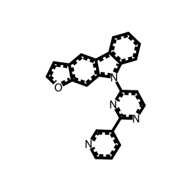 c1cncc(-c2nccc(-n3c4ccccc4c4cc5ccoc5cc43)n2)c1